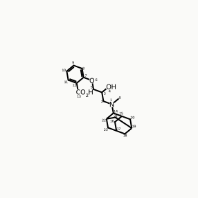 CN(CC(O)COc1ccccc1C(=O)O)C1C2CC3CC(C2)CC1C3